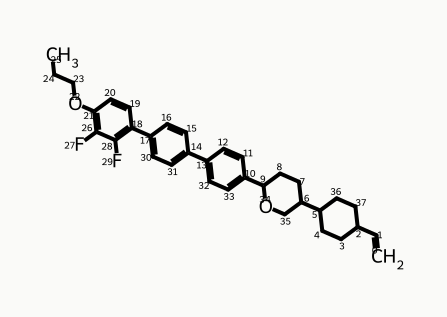 C=CC1CCC(C2CCC(c3ccc(-c4ccc(-c5ccc(OCCC)c(F)c5F)cc4)cc3)OC2)CC1